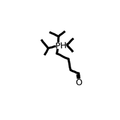 CC(C)[PH](CCCC=O)(C(C)C)C(C)C